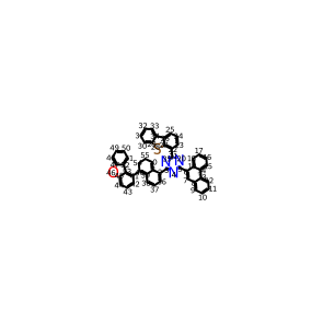 C1=c2c(-c3nc(-c4cc5ccccc5c5ccccc45)nc(-c4cccc5c4sc4ccccc45)n3)cccc2=C(c2cccc3oc4ccccc4c23)CC1